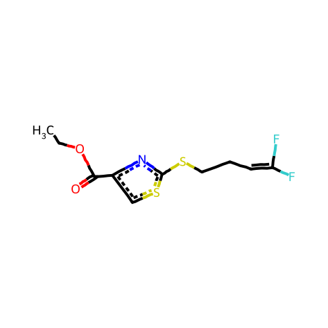 CCOC(=O)c1csc(SCCC=C(F)F)n1